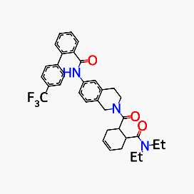 CCN(CC)C(=O)C1CC=CCC1C(=O)N1CCc2cc(NC(=O)c3ccccc3-c3ccc(C(F)(F)F)cc3)ccc2C1